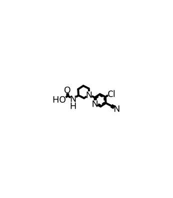 N#Cc1cnc(N2CCCC(NC(=O)O)C2)cc1Cl